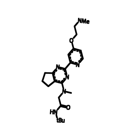 CNCCOc1ccnc(-c2nc3c(c(N(C)CC(=O)NC(C)(C)C)n2)CCC3)c1